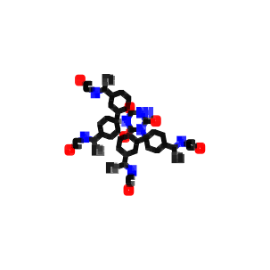 CCC(N=C=O)C1CCC(C2CCCC(C(CC)N=C=O)C2)(n2c(=O)[nH]c(=O)n(C3(C4CCCC(C(CC)N=C=O)C4)CCC(C(CC)N=C=O)CC3)c2=O)CC1